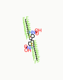 O=C(O)NC1CCC(C(CC(F)(F)C(F)(F)C(F)(F)C(F)(F)C(F)(F)C(F)(F)C(F)(F)C(F)(F)C(F)(F)C(F)F)(CC(F)(F)C(F)(F)C(F)(F)C(F)(F)C(F)(F)C(F)(F)C(F)(F)C(F)(F)C(F)(F)C(F)F)C2CCC(NC(=O)O)CC2)CC1